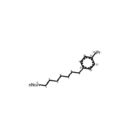 CCCCCCCCCCCCCCCCc1ccc([C](C)C)cc1